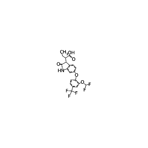 CCC(C(=O)O)C1C(=O)Nc2cc(Oc3ccc(C(F)(F)F)cc3OC(F)F)ccc21